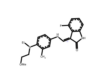 CCN(CCOC)c1ccc(N/C=C2/C(=O)Nc3cccc(F)c32)cc1C